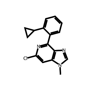 Cn1cnc2c(-c3ccccc3C3CC3)nc(Cl)cc21